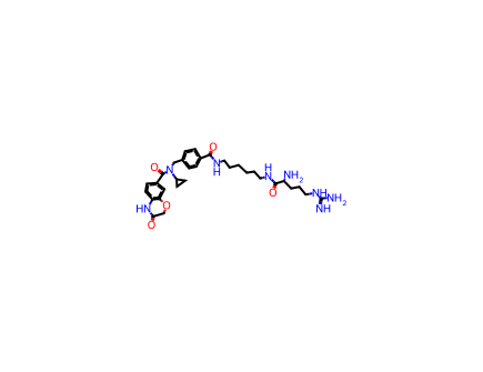 N=C(N)NCCC[C@H](N)C(=O)NCCCCCCNC(=O)c1ccc(CN(C(=O)c2ccc3c(c2)OCC(=O)N3)C2CC2)cc1